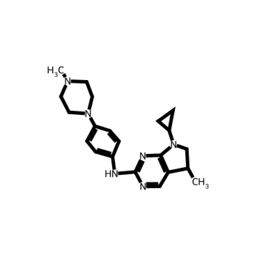 CC1CN(C2CC2)c2nc(Nc3ccc(N4CCN(C)CC4)cc3)ncc21